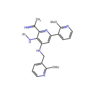 COc1ncccc1CNc1cc(-c2cccnc2OC)nc(C(C)=N)c1NC(C)C